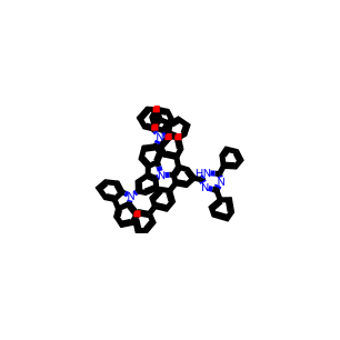 c1ccc(C2=NC(c3ccccc3)NC(c3cc(-c4ccc(-c5ccccc5)cc4)c(-n4c5ccc(-n6c7ccccc7c7ccccc76)cc5c5ccc(-n6c7ccccc7c7ccccc76)cc54)c(-c4ccc(-c5ccccc5)cc4)c3)=N2)cc1